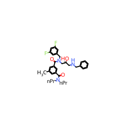 CCCN(CCC)C(=O)c1cc(C)cc(C(=O)N(Cc2cc(F)cc(F)c2)C[C@H](O)CNCc2ccccc2)c1